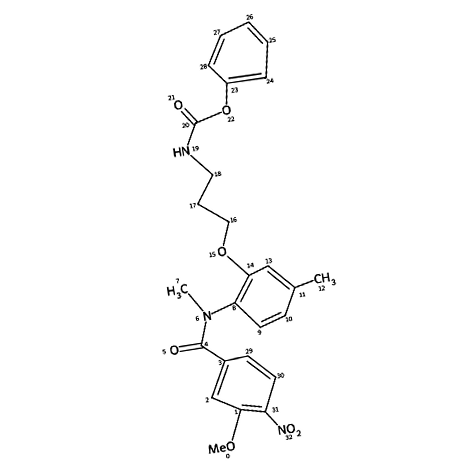 COc1cc(C(=O)N(C)c2ccc(C)cc2OCCCNC(=O)Oc2ccccc2)ccc1[N+](=O)[O-]